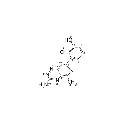 Cc1cc(-c2cccc(O)c2Cl)cc2nnc(N)nc12